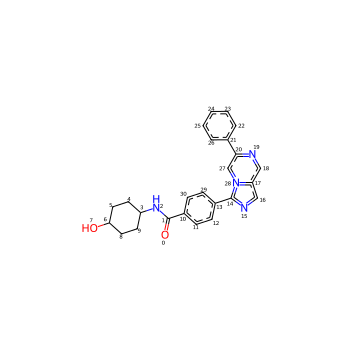 O=C(NC1CCC(O)CC1)c1ccc(-c2ncc3cnc(-c4ccccc4)cn23)cc1